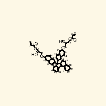 C=CC(=O)OCC(O)COc1ccc2cc(C3(c4ccc5cc(OCC(O)COC(=O)C=C)ccc5c4)c4ccccc4-c4c3ccc3ccccc43)ccc2c1